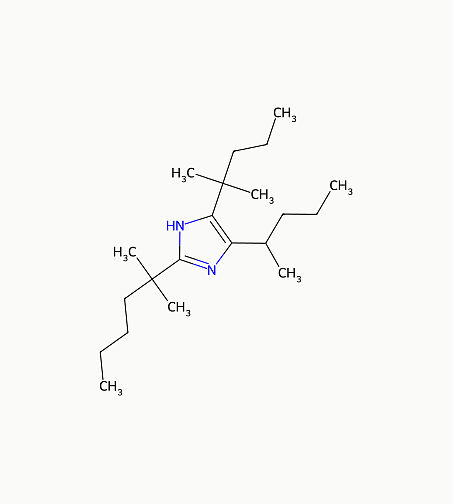 CCCCC(C)(C)c1nc(C(C)CCC)c(C(C)(C)CCC)[nH]1